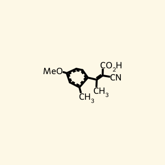 COc1ccc(C(C)=C(C#N)C(=O)O)c(C)c1